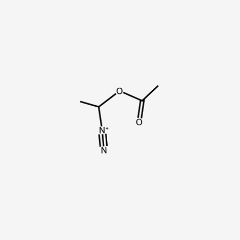 CC(=O)OC(C)[N+]#N